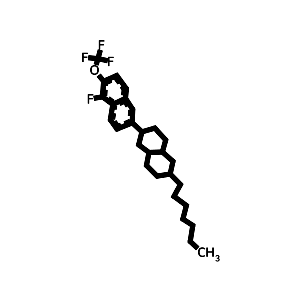 CCCCCCCC1CCC2CC(c3ccc4c(F)c(OC(F)(F)F)ccc4c3)CCC2C1